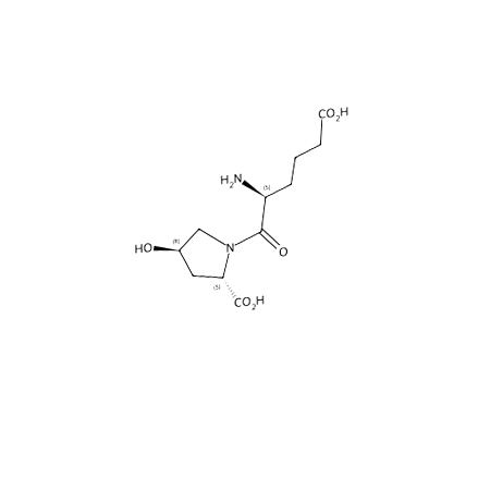 N[C@@H](CCCC(=O)O)C(=O)N1C[C@H](O)C[C@H]1C(=O)O